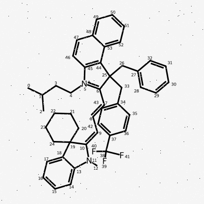 CC(C)CC[N+]1=C(/C=C/C=C2/N(C)c3ccccc3C23CCCCC3)C(Cc2ccccc2)(Cc2ccc(C(F)(F)F)cc2)c2c1ccc1ccccc21